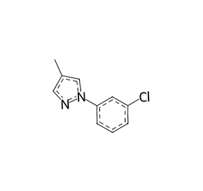 Cc1cnn(-c2cccc(Cl)c2)c1